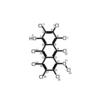 Oc1c(Cl)c(Cl)c(Cl)c2c(Cl)c3c(OCl)c(Cl)c(Cl)c(Cl)c3c(Cl)c12